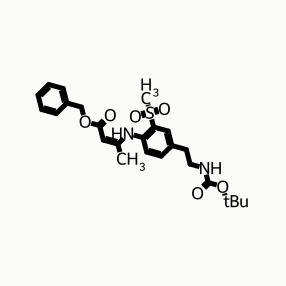 C/C(=C/C(=O)OCc1ccccc1)Nc1ccc(CCNC(=O)OC(C)(C)C)cc1S(C)(=O)=O